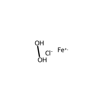 OO.[Cl-].[Fe+]